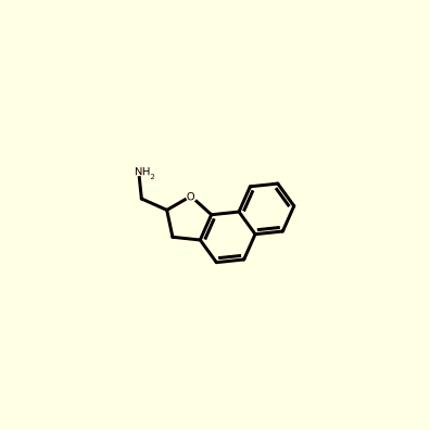 NCC1Cc2ccc3ccccc3c2O1